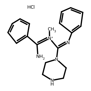 C[N+](C(=Nc1ccccc1)N1CCNCC1)=C(N)c1ccccc1.Cl